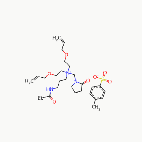 C=CCOCC[N+](CCCNC(=O)CC)(CCOCC=C)CN1CCCC1=O.Cc1ccc(S(=O)(=O)[O-])cc1